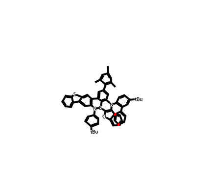 Cc1cc(C)c(-c2cc3c4c(c2)N(c2ccc(C(C)(C)C)cc2-c2ccccc2)c2c(oc5ccccc25)B4N(c2ccc(C(C)(C)C)cc2)c2cc4c(cc2-3)sc2ccccc24)c(C)c1